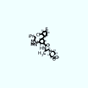 CC(C)Cc1nnnn1-c1cc(C(=O)N[C@@H](C)CN2CCS(=O)(=O)CC2)cc(-c2ccc(F)cc2Cl)c1